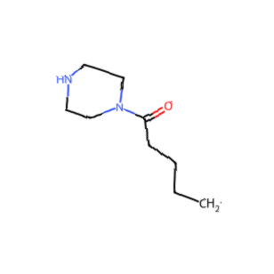 [CH2]CCCC(=O)N1CCNCC1